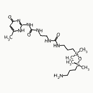 Cc1cc(=O)nc(NC(=O)NCCNC(=O)NCCC[Si](C)(C)O[Si](C)(C)CCCN)[nH]1